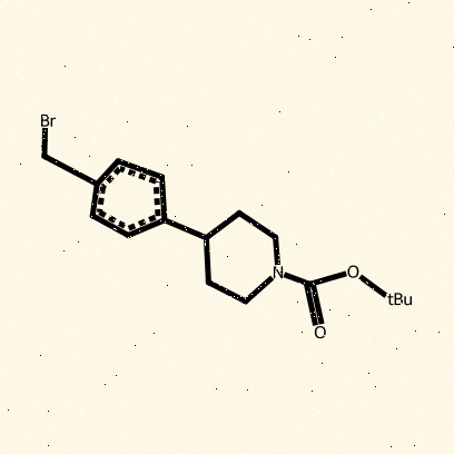 CC(C)(C)OC(=O)N1CCC(c2ccc(CBr)cc2)CC1